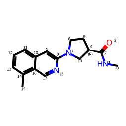 CNC(=O)[C@@H]1CCN(c2cc3cccc(C)c3cn2)C1